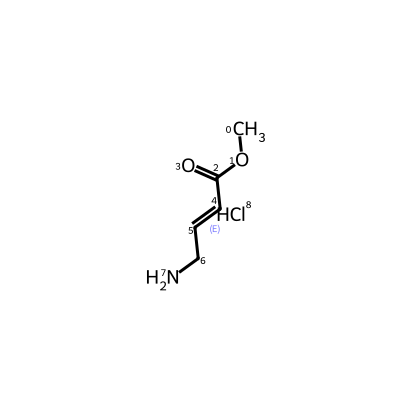 COC(=O)/C=C/CN.Cl